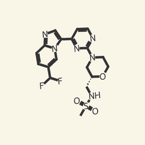 CS(=O)(=O)NC[C@@H]1CN(c2nccc(-c3cnc4ccc(C(F)F)cn34)n2)CCO1